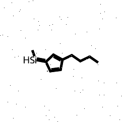 CCCCC1=CC(=[SiH]C)[C]=C1